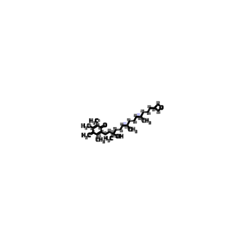 C=C1C(C)=C(C)C(=O)C(CC[C@](C)(O)CC/C=C(\C)CC/C=C(\C)CCC=C2COC2)=C1C